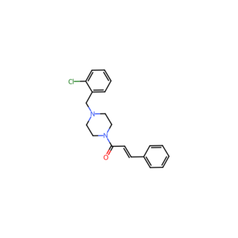 O=C(C=Cc1ccccc1)N1CCN(Cc2ccccc2Cl)CC1